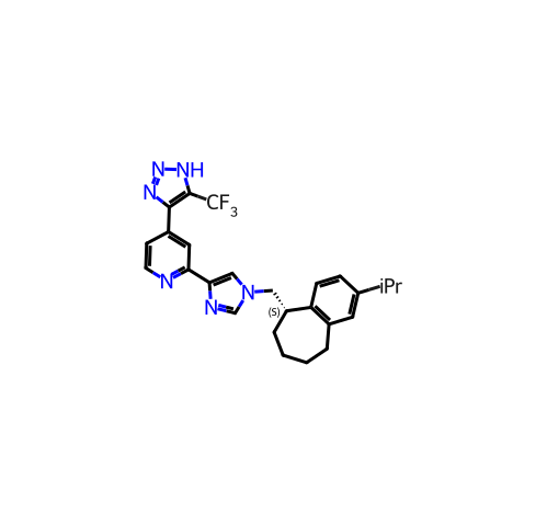 CC(C)c1ccc2c(c1)CCCC[C@@H]2Cn1cnc(-c2cc(-c3nn[nH]c3C(F)(F)F)ccn2)c1